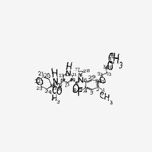 CCc1cc(F)c(N(C(=O)[C@H]2CNC[C@@H](C(=O)NC3(C)CCOCC3)C2)C2CC2)cc1OCCCOC